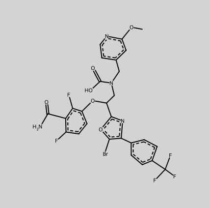 COc1cc(CN(CC(Oc2ccc(F)c(C(N)=O)c2F)c2nc(-c3ccc(C(F)(F)F)cc3)c(Br)o2)C(=O)O)ccn1